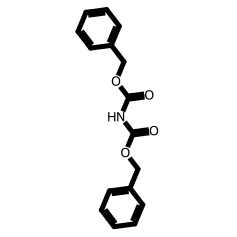 O=C(NC(=O)OCc1ccccc1)OCc1ccccc1